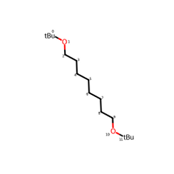 CC(C)(C)OCCCCCCCCOC(C)(C)C